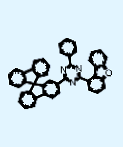 c1ccc(-c2nc(-c3ccc4c(c3)C3(c5ccccc5-c5ccccc53)c3ccccc3-4)nc(-c3cccc4oc5ccccc5c34)n2)cc1